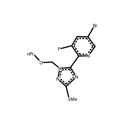 CCCOCn1nc(SC)nc1-c1ncc(Br)cc1F